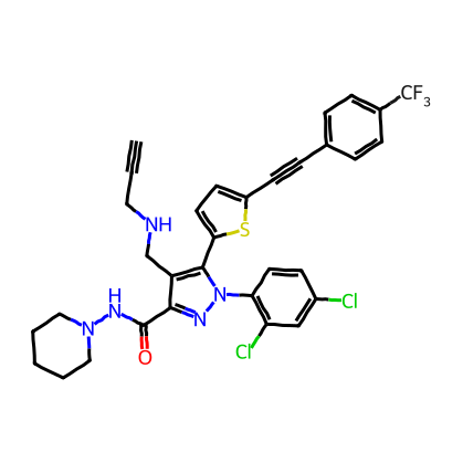 C#CCNCc1c(C(=O)NN2CCCCC2)nn(-c2ccc(Cl)cc2Cl)c1-c1ccc(C#Cc2ccc(C(F)(F)F)cc2)s1